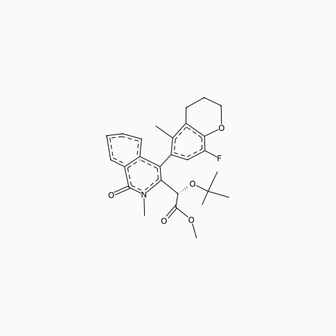 COC(=O)[C@@H](OC(C)(C)C)c1c(-c2cc(F)c3c(c2C)CCCO3)c2ccccc2c(=O)n1C